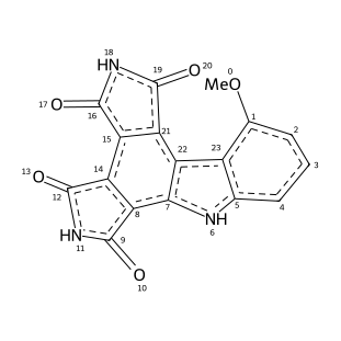 COc1cccc2[nH]c3c4c(=O)[nH]c(=O)c4c4c(=O)[nH]c(=O)c4c3c12